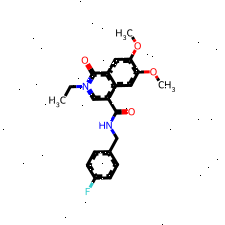 CCn1cc(C(=O)NCc2ccc(F)cc2)c2cc(OC)c(OC)cc2c1=O